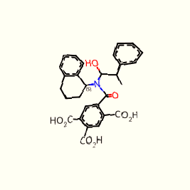 CC(c1ccccc1)C(O)N(C(=O)c1cc(C(=O)O)c(C(=O)O)cc1C(=O)O)[C@H]1CCCc2ccccc21